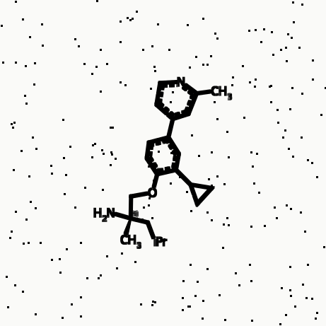 Cc1cc(-c2ccc(OC[C@@](C)(N)CC(C)C)c(C3CC3)c2)ccn1